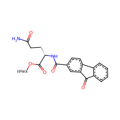 CCCCCCOC(=O)[C@H](CCC(N)=O)NC(=O)c1ccc2c(c1)C(=O)c1ccccc1-2